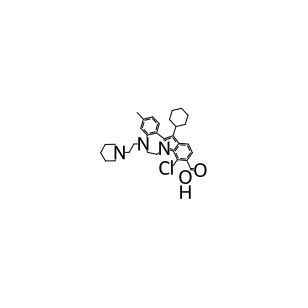 Cc1ccc2c(c1)N(CCN1CCCCC1)CCn1c-2c(C2CCCCC2)c2ccc(C(=O)O)c(Cl)c21